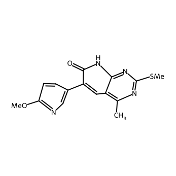 COc1ccc(-c2cc3c(C)nc(SC)nc3[nH]c2=O)cn1